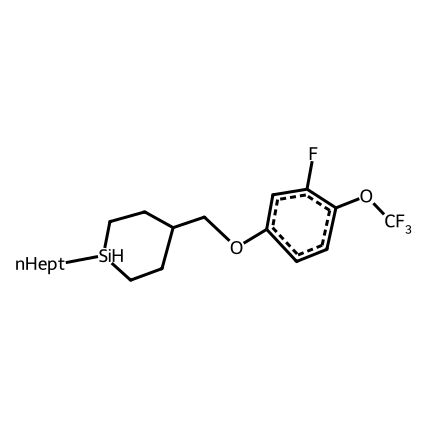 CCCCCCC[SiH]1CCC(COc2ccc(OC(F)(F)F)c(F)c2)CC1